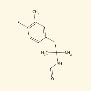 Cc1cc(CC(C)(C)NC=O)ccc1F